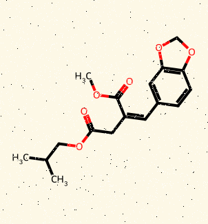 COC(=O)C(=Cc1ccc2c(c1)OCO2)CC(=O)OCC(C)C